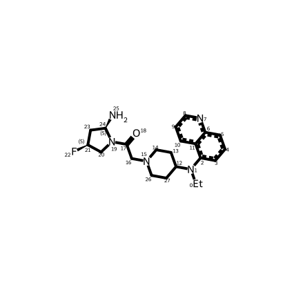 CCN(c1cccc2ncccc12)C1CCN(CC(=O)N2C[C@@H](F)C[C@H]2N)CC1